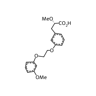 COc1cccc(OCCOc2cccc(C[C@H](OC)C(=O)O)c2)c1